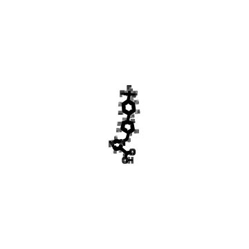 O=C(O)c1cncn1Cc1ccc(-c2ccc(C(F)(F)F)cc2)cc1